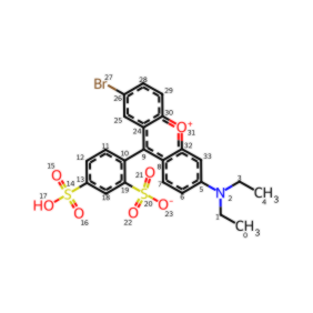 CCN(CC)c1ccc2c(-c3ccc(S(=O)(=O)O)cc3S(=O)(=O)[O-])c3cc(Br)ccc3[o+]c2c1